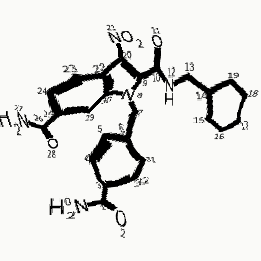 NC(=O)c1ccc(Cn2c(C(=O)NCC3CCCCC3)c([N+](=O)[O-])c3ccc(C(N)=O)cc32)cc1